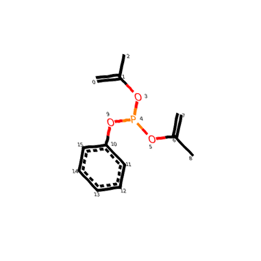 C=C(C)OP(OC(=C)C)Oc1ccccc1